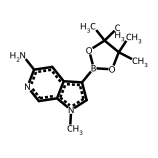 Cn1cc(B2OC(C)(C)C(C)(C)O2)c2cc(N)ncc21